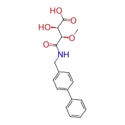 CO[C@@H](C(=O)NCc1ccc(-c2ccccc2)cc1)[C@@H](O)C(=O)O